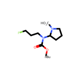 CCCCOC(=O)N(CCCF)C1CCCN1C(=O)O